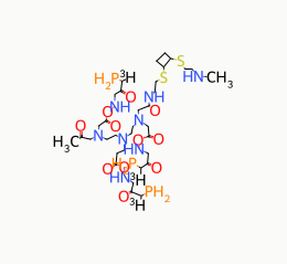 [3H]C(P)C(=O)CNOC(=O)CCN(CCN(CC(C)=O)CC(=O)ONCC(=O)C([3H])P)CCN(CC(=O)NCCSC1CCC1SCCNC)CC(=O)ONCC(=O)C([3H])P